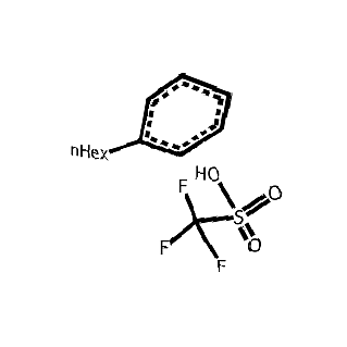 CCCCCCc1ccccc1.O=S(=O)(O)C(F)(F)F